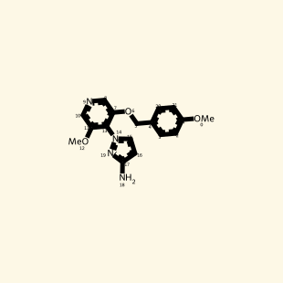 COc1ccc(COc2cncc(OC)c2-n2ccc(N)n2)cc1